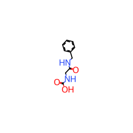 O=C(O)NCC(=O)NCc1ccccc1